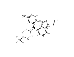 CC(C)(C)N1CCC(N(c2cccc(Cl)c2)c2ccnc3c(C=O)cnn23)CC1